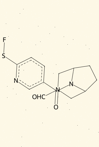 O=CN1CC2CCC(C1)N2C(=O)c1ccc(SF)nc1